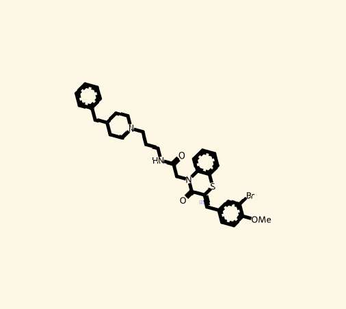 COc1ccc(/C=C2\Sc3ccccc3N(CC(=O)NCCCN3CCC(Cc4ccccc4)CC3)C2=O)cc1Br